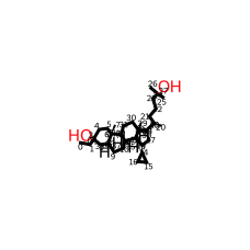 CC[C@]1(O)CC[C@@]2(C)[C@@H](CC[C@H]3[C@@H]4[C@@H](C5CC5)C[C@H]([C@H](C)CCCC(C)(C)O)[C@@]4(C)CC[C@@H]32)C1